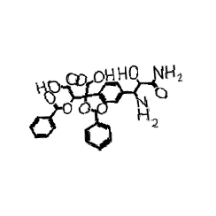 NC(=O)C(O)C(N)c1ccc(C(OC(=O)c2ccccc2)(C(=O)O)C(OC(=O)c2ccccc2)C(=O)O)cc1